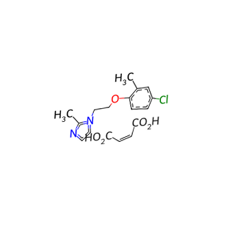 Cc1cc(Cl)ccc1OCCn1ccnc1C.O=C(O)/C=C\C(=O)O